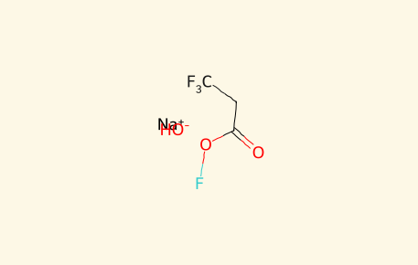 O=C(CC(F)(F)F)OF.[Na+].[OH-]